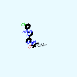 COCC1=NN(c2cc(-c3ccnc(Nc4cccc(Cl)c4)n3)ccn2)C(=O)C1(C)C